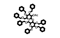 CC(=O)OC1C(OC2C(COCc3ccccc3)OC(Sc3ccccc3)C(OCc3ccccc3)C2OCc2ccccc2)OC(COCc2ccccc2)C(OCc2ccccc2)C1OCc1ccccc1